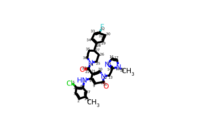 Cc1ccc(Cl)c(Nc2cc(=O)n(Cc3nccn3C)cc2C(=O)N2CCC(c3ccc(F)cc3)CC2)c1